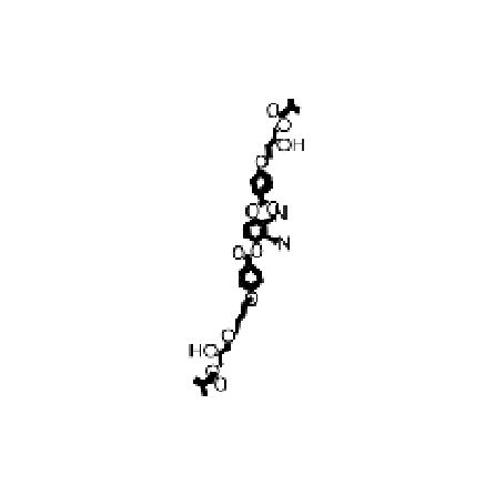 C=C(C)C(=O)OCC(O)CCOc1ccc(C(=O)Oc2ccc(OC(=O)c3ccc(OCCCCOCC(O)COC(=O)C(=C)C)cc3)c(C#N)c2C#N)cc1